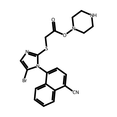 N#Cc1ccc(-n2c(Br)cnc2SCC(=O)ON2CCNCC2)c2ccccc12